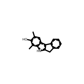 Cc1cc2c3c([nH]c2c(C)c1O)Cc1ccccc1-3